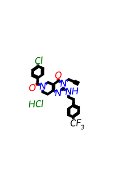 C#CCn1c(NCCc2ccc(C(F)(F)F)cc2)nc2c(c1=O)CN(C(=O)c1ccc(Cl)cc1)CC2.Cl